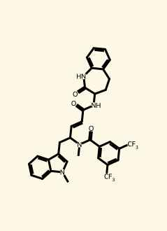 CN(C(=O)c1cc(C(F)(F)F)cc(C(F)(F)F)c1)C(C=CC(=O)NC1CCc2ccccc2NC1=O)Cc1cn(C)c2ccccc12